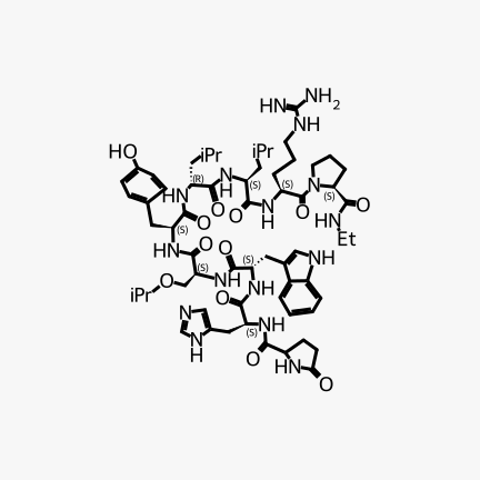 CCNC(=O)[C@@H]1CCCN1C(=O)[C@H](CCCNC(=N)N)NC(=O)[C@H](CC(C)C)NC(=O)[C@@H](CC(C)C)NC(=O)[C@H](Cc1ccc(O)cc1)NC(=O)[C@H](COC(C)C)NC(=O)[C@H](Cc1c[nH]c2ccccc12)NC(=O)[C@H](Cc1cnc[nH]1)NC(=O)C1CCC(=O)N1